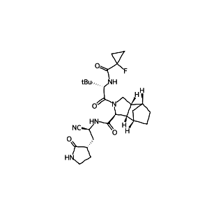 CC(C)(C)[C@H](NC(=O)C1(F)CC1)C(=O)N1C[C@@H]2[C@@H]3CC[C@@H](C3)[C@@H]2[C@H]1C(=O)N[C@H](C#N)C[C@@H]1CCNC1=O